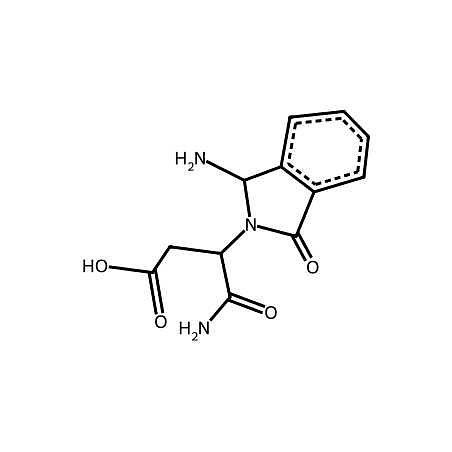 NC(=O)C(CC(=O)O)N1C(=O)c2ccccc2C1N